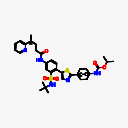 CC(C)OC(=O)NC12CCC(c3ncc(-c4ccc(NC(=O)CC[C@H](C)c5ccccn5)cc4S(=O)(=O)NC(C)(C)C)s3)(CC1)CC2